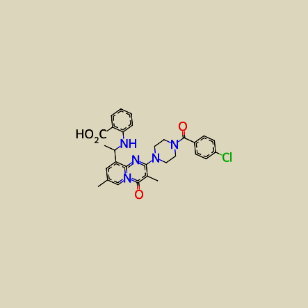 Cc1cc(C(C)Nc2ccccc2C(=O)O)c2nc(N3CCN(C(=O)c4ccc(Cl)cc4)CC3)c(C)c(=O)n2c1